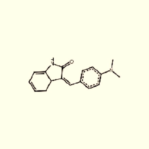 CN(C)c1ccc(C=C2C(=O)NC3=CC=CCC32)cc1